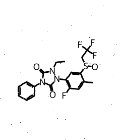 CCn1c(=O)n(-c2ccccc2)c(=O)n1-c1cc([S+]([O-])CC(F)(F)F)c(C)cc1F